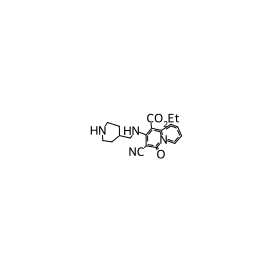 CCOC(=O)c1c(NCC2CCNCC2)c(C#N)c(=O)n2ccccc12